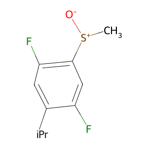 CC(C)c1cc(F)c([S+](C)[O-])cc1F